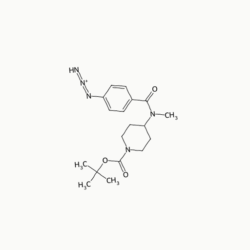 CN(C(=O)c1ccc(N=[N+]=N)cc1)C1CCN(C(=O)OC(C)(C)C)CC1